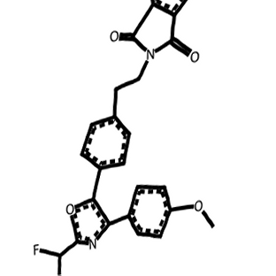 COc1ccc(-c2nc(C(F)F)oc2-c2ccc(CCN3C(=O)c4ccccc4C3=O)cc2)cc1